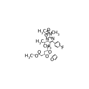 CCOC(=O)C[C@H]1C[C@@H](C=Cc2c(-c3ccc(F)cc3)nc(N(C)S(C)(=O)=O)nc2C(C)C)O[C@H](c2ccco2)O1